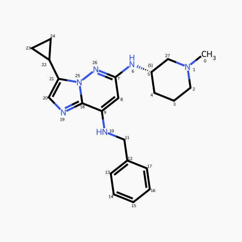 CN1CCC[C@H](Nc2cc(NCc3ccccc3)c3ncc(C4CC4)n3n2)C1